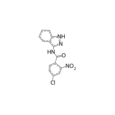 O=C(Nc1n[nH]c2ccccc12)c1ccc(Cl)cc1[N+](=O)[O-]